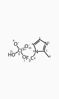 Cc1nccn1C(F)(F)F.[O-][Cl+3]([O-])([O-])O